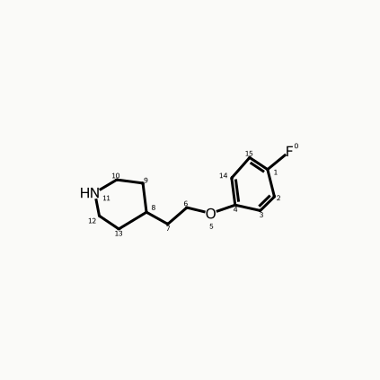 Fc1ccc(OCCC2CCNCC2)cc1